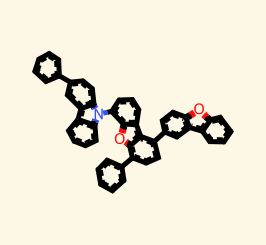 c1ccc(-c2ccc3c(c2)c2ccccc2n3-c2cccc3c2oc2c(-c4ccccc4)ccc(-c4ccc5oc6ccccc6c5c4)c23)cc1